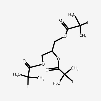 CC(C)(I)C(=O)OCC(COC(=O)C(C)(C)I)OC(=O)C(C)(C)I